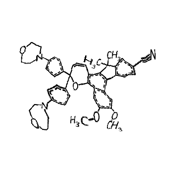 COc1cc2c3c(c4c(c2cc1OC)-c1ccc(C#N)cc1C4(C)C)C=CC(c1ccc(N2CCOCC2)cc1)(c1ccc(N2CCOCC2)cc1)O3